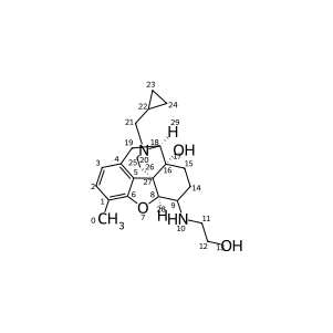 Cc1ccc2c3c1O[C@@H]1C(NCCO)CC[C@]4(O)[C@H](C2)N(CC2CC2)CC[C@@]314